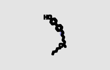 CCCCCOC(C)CCC/C=C/c1ccc(-c2ccc(O)cc2)cc1